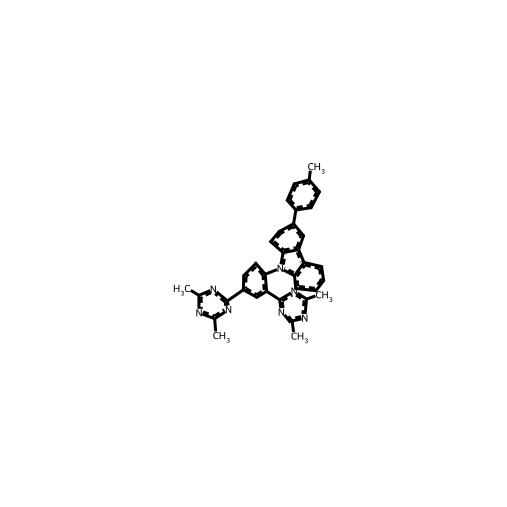 Cc1ccc(-c2ccc3c(c2)c2ccccc2n3-c2ccc(-c3nc(C)nc(C)n3)cc2-c2nc(C)nc(C)n2)cc1